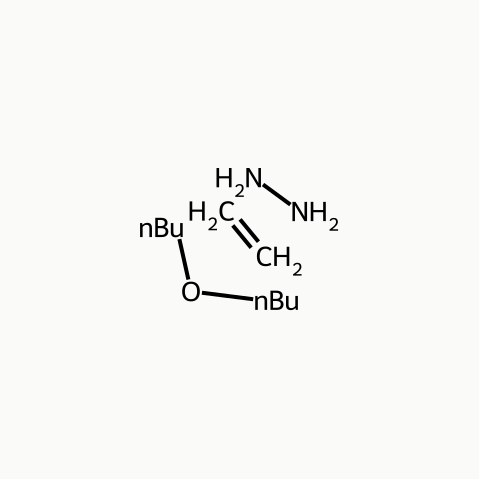 C=C.CCCCOCCCC.NN